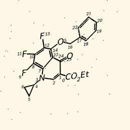 CCOC(=O)c1cn(C2CC2)c2c(F)c(F)c(F)c(OCc3ccccc3)c2c1=O